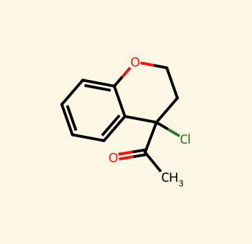 CC(=O)C1(Cl)CCOc2ccccc21